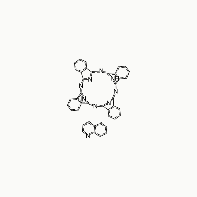 c1ccc2c(c1)-c1nc-2nc2[nH]c(nc3nc(nc4[nH]c(n1)c1ccccc41)-c1ccccc1-3)c1ccccc21.c1ccc2ncccc2c1